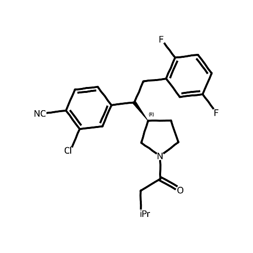 CC(C)CC(=O)N1CC[C@H](C(Cc2cc(F)ccc2F)c2ccc(C#N)c(Cl)c2)C1